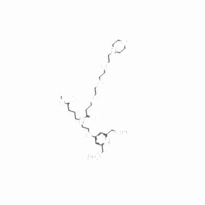 COC(=O)CCCN(CCOc1cc(CO)nc(CO)c1)C(=O)CCOCCOCCOCCN1CCOCC1